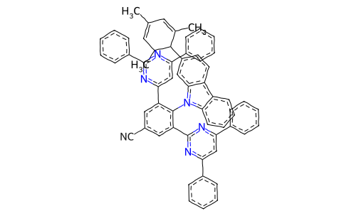 CC1=CC(C)C(c2ccc3c4ccccc4n(-c4c(-c5cc(-c6ccccc6)nc(-c6ccccc6)n5)cc(C#N)cc4-c4nc(-c5ccccc5)cc(-c5ccccc5)n4)c3c2)C(C)=C1